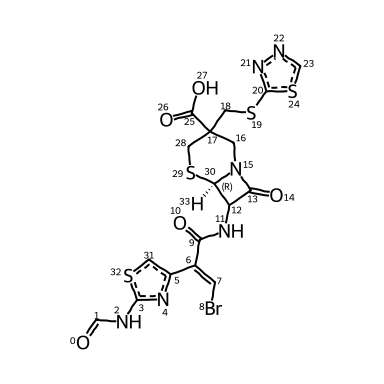 O=CNc1nc(C(=CBr)C(=O)NC2C(=O)N3CC(CSc4nncs4)(C(=O)O)CS[C@H]23)cs1